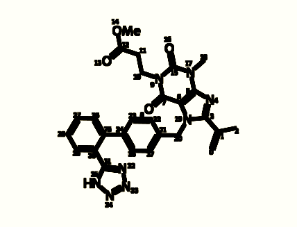 C=C(C)c1nc2c(c(=O)n(CCC(=O)OC)c(=O)n2C)n1Cc1ccc(-c2ccccc2-c2nnn[nH]2)cc1